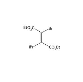 CCOC(=O)C(Br)=C(C(=O)OCC)C(C)C